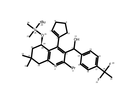 CC(C)c1nc2c(c(C3=CCCC3)c1C(O)c1ccc(C(C)(F)F)cc1)[C@H](O[Si](C)(C)C(C)(C)C)CC(C)(C)C2